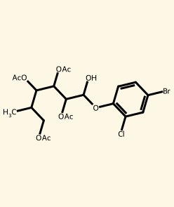 CC(=O)OCC(C)C(OC(C)=O)C(OC(C)=O)C(OC(C)=O)C(O)Oc1ccc(Br)cc1Cl